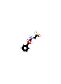 O=C(F)CNC1OC(c2ccccc2)O1